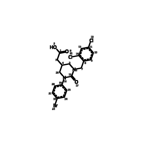 O=C(O)CC1CN(Cc2ccc(Cl)cc2Cl)C(=O)N(c2ccc(Br)cc2)C1